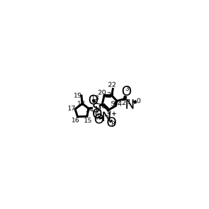 C=NC(=O)c1cc([N+](=O)[O-])c(S(=O)(=O)C2CCCC2C)cc1C